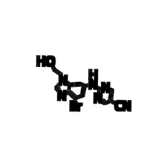 N#Cc1cnc(Nc2cc(Br)c3ncn(CCO)c3c2)nc1